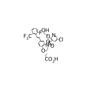 O=C(O)CC[C@H]1CN(S(=O)(=O)c2cc(Cl)cnc2OCCO)c2cc(/C=C/c3c(F)cccc3C(F)(F)F)ccc2O1